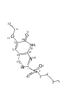 CCCCS(=O)(=O)c1ncc2cc(OCC)c(=O)[nH]c2n1